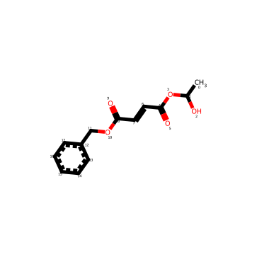 CC(O)OC(=O)C=CC(=O)OCc1ccccc1